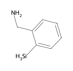 NCc1ccccc1[SiH3]